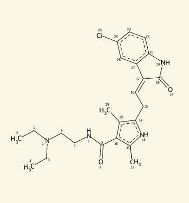 CCN(CC)CCNC(=O)c1c(C)[nH]c(CC=C2C(=O)Nc3ccc(Cl)cc32)c1C